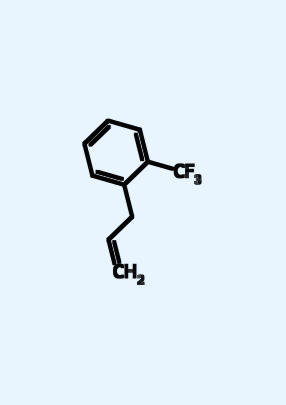 C=CCc1ccccc1C(F)(F)F